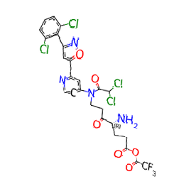 N[C@H](CCC(=O)OC(=O)C(F)(F)F)C(=O)CCN(C(=O)C(Cl)Cl)c1ccnc(-c2cc(-c3c(Cl)cccc3Cl)no2)c1